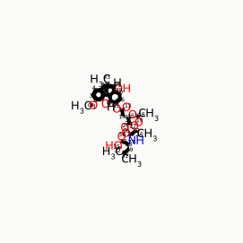 COc1ccc2c3c1O[C@H]1C(OC(=O)C[C@H](OC(C)=O)C(=O)O[C@@H](C)C(=O)N[C@@H](CC(C)C)C(=O)O)=CC[C@@]4(O)[C@@H](C2)C(C)CC[C@]314